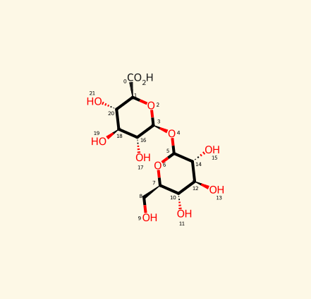 O=C(O)[C@H]1O[C@@H](OC2O[C@H](CO)[C@@H](O)[C@H](O)[C@H]2O)[C@H](O)[C@@H](O)[C@@H]1O